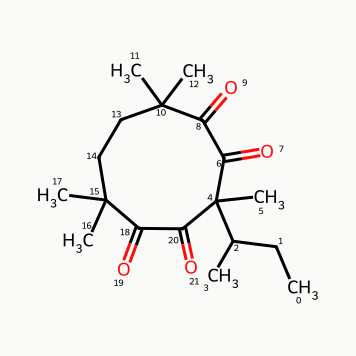 CCC(C)C1(C)C(=O)C(=O)C(C)(C)CCC(C)(C)C(=O)C1=O